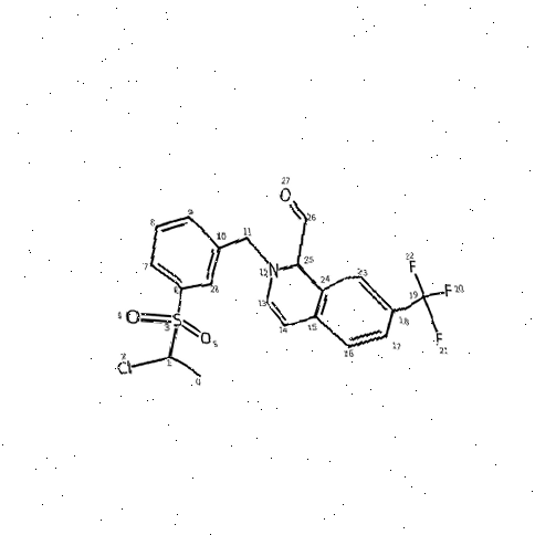 CC(Cl)S(=O)(=O)c1cccc(CN2C=Cc3ccc(C(F)(F)F)cc3C2C=O)c1